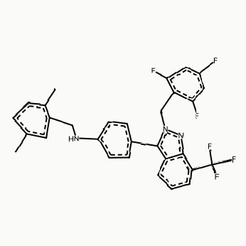 Cc1ccc(C)c(CNc2ccc(-c3c4cccc(C(F)(F)F)c4nn3Cc3c(F)cc(F)cc3F)cc2)c1